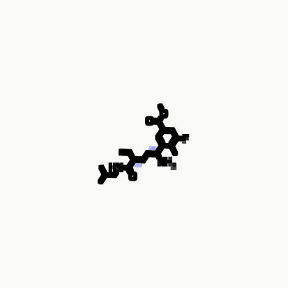 C=C/C(=C\C=C(/N)c1cc(C(=O)OC)cc(F)c1C)C(=O)NCC(C)C